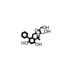 CC(=O)c1c(O)cc(O)c(-c2ccccc2)c1CC1O[C@@H](CO)[C@H](CO)O1